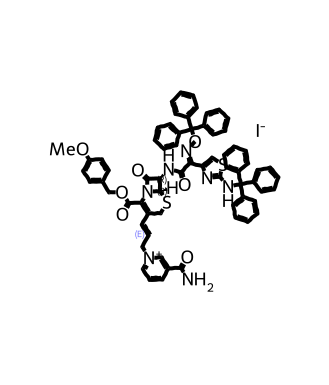 COc1ccc(COC(=O)C2=C(/C=C/C[n+]3cccc(C(N)=O)c3)CS[C@H]3[C@H](NC(=O)C(=NOC(c4ccccc4)(c4ccccc4)c4ccccc4)c4csc(NC(c5ccccc5)(c5ccccc5)c5ccccc5)n4)C(=O)N23)cc1.[I-]